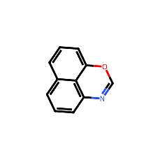 C1=Nc2cccc3cccc(c23)O1